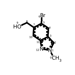 Cn1cc2cc(Br)c(CO)cc2n1